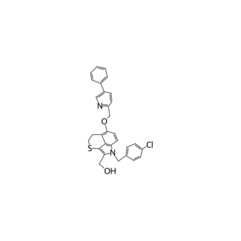 OCc1c2c3c(c(OCc4ccc(-c5ccccc5)cn4)ccc3n1Cc1ccc(Cl)cc1)CCS2